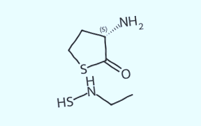 CCNS.N[C@H]1CCSC1=O